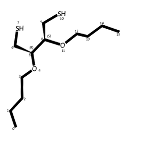 CCCCO[C@@H](CS)[C@@H](CS)OCCCC